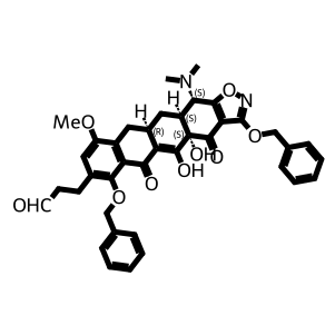 COc1cc(CCC=O)c(OCc2ccccc2)c2c1C[C@H]1C[C@H]3[C@H](N(C)C)c4onc(OCc5ccccc5)c4C(=O)[C@@]3(O)C(O)=C1C2=O